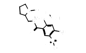 CCN1CCCC1CNC(=O)c1cc(S(=O)(=O)CC)c(N)cc1OC.O=S(=O)(O)O